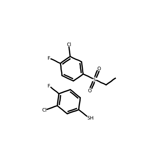 CCS(=O)(=O)c1ccc(F)c(Cl)c1.Fc1ccc(S)cc1Cl